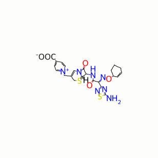 Nc1nc(C(=NOC2C=CCCC2)C(=O)NC2C(=O)N3C=C(C[n+]4ccc(C(=O)[O-])cc4)CS[C@H]23)ns1